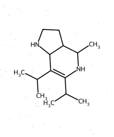 CC(C)C1=C(C(C)C)C2NCCC2C(C)N1